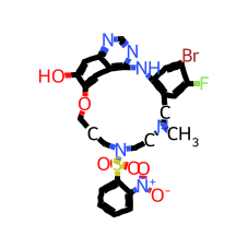 CN1CCN(S(=O)(=O)c2ccccc2[N+](=O)[O-])CCCOc2cc3c(ncnc3cc2O)Nc2cc(Br)c(F)cc2C1